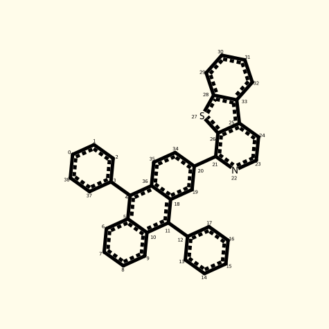 c1ccc(-c2c3ccccc3c(-c3ccccc3)c3cc(-c4nccc5c4sc4ccccc45)ccc23)cc1